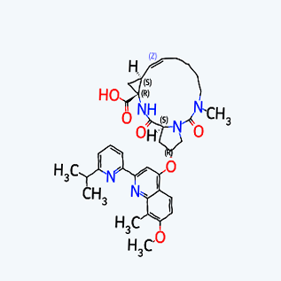 COc1ccc2c(O[C@@H]3C[C@H]4C(=O)N[C@]5(C(=O)O)C[C@H]5/C=C\CCCCN(C)C(=O)N4C3)cc(-c3cccc(C(C)C)n3)nc2c1C